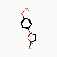 CC[C@@H]1CC[C@H](c2ccc(OC(F)(F)F)cc2)O1